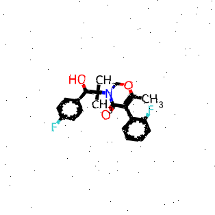 CC1=C(c2ccccc2F)C(=O)N(C(C)(C)C(O)c2ccc(F)cc2)CO1